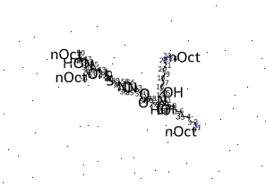 CCCCCCCC/C=C\CCCCCCC(O)CN(CC(O)CCCCCC/C=C\CCCCCCCC)C(C)CCC(=O)OCCN1CCN(CCSSCCCCN(CC(O)CCCCCCCC)CC(O)CCCCCCCC)CC1